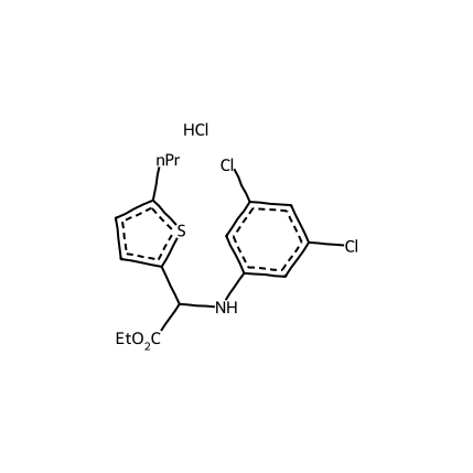 CCCc1ccc(C(Nc2cc(Cl)cc(Cl)c2)C(=O)OCC)s1.Cl